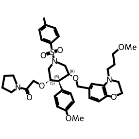 COCCCN1CCOc2ccc(CO[C@H]3CN(S(=O)(=O)c4ccc(C)cc4)C[C@@H](OCC(=O)N4CCCC4)[C@@H]3c3ccc(OC)cc3)cc21